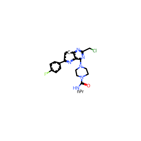 CCCNC(=O)N1CCN(c2nc(CCl)nc3ccc(-c4ccc(F)cc4)nc23)CC1